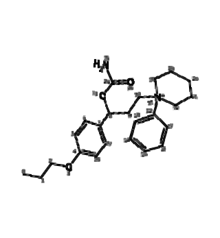 CCCOc1ccc(C(CC[N+]2(c3ccccc3)CCCCC2)OC(N)=O)cc1